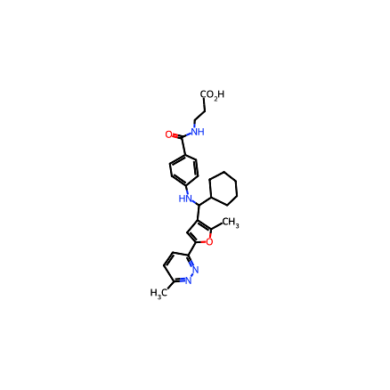 Cc1ccc(-c2cc(C(Nc3ccc(C(=O)NCCC(=O)O)cc3)C3CCCCC3)c(C)o2)nn1